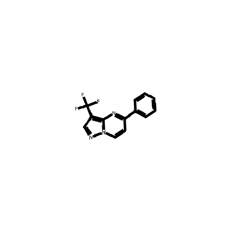 FC(F)(F)c1cnn2ccc(-c3ccccc3)nc12